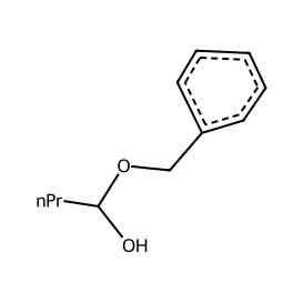 CCCC(O)OCc1ccccc1